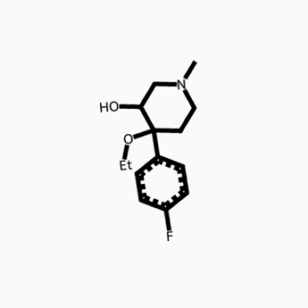 CCOC1(c2ccc(F)cc2)CCN(C)CC1O